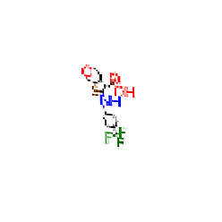 O=C(O)c1c(NCc2ccc(C(F)(F)F)cc2)sc2c1CCOC2